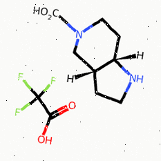 O=C(O)C(F)(F)F.O=C(O)N1CC[C@@H]2NCC[C@@H]2C1